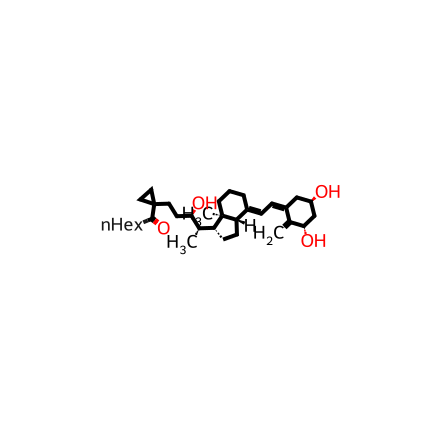 C=C1/C(=C\C=C2/CCC[C@]3(C)[C@@H]([C@H](C)[C@H](O)CCC4(C(=O)CCCCCC)CC4)CC[C@@H]23)C[C@@H](O)C[C@@H]1O